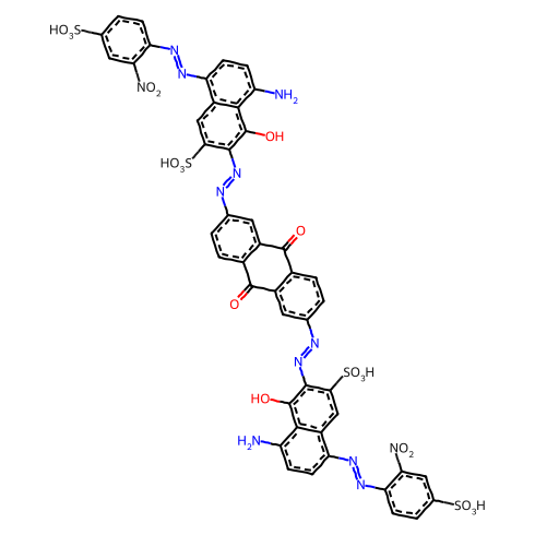 Nc1ccc(N=Nc2ccc(S(=O)(=O)O)cc2[N+](=O)[O-])c2cc(S(=O)(=O)O)c(N=Nc3ccc4c(c3)C(=O)c3ccc(N=Nc5c(S(=O)(=O)O)cc6c(N=Nc7ccc(S(=O)(=O)O)cc7[N+](=O)[O-])ccc(N)c6c5O)cc3C4=O)c(O)c12